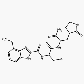 CC(C)CC(NC(=O)c1nc2c(OC(F)(F)F)cccc2[nH]1)C(=O)NC(CC1CCNC1=O)C(N)=O